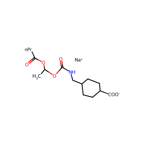 CCCC(=O)OC(C)OC(=O)NCC1CCC(C(=O)[O-])CC1.[Na+]